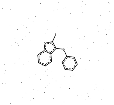 Ic1sc2ccccc2c1Sc1ccccc1